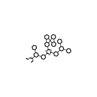 C=C/C=C(\C=C)c1cc(-c2ccccc2)cc(-c2cccc(-c3nc(-c4cccc(-c5cc(-c6ccccc6)cc(-c6ccccc6)c5)c4)nc(-c4ccc5c(c4)C4(c6ccccc6-c6ccccc64)c4ccccc4-5)n3)c2)c1